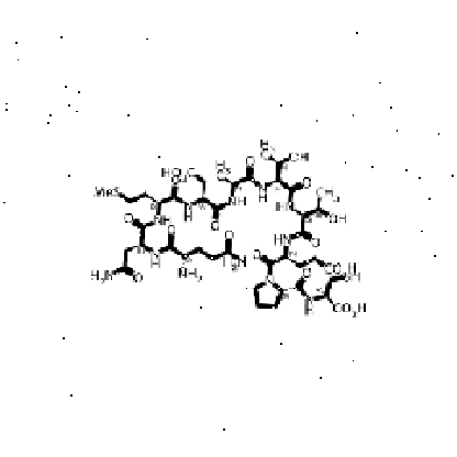 CSCC[C@H](NC(=O)[C@H](CC(N)=O)NC(=O)[C@@H](N)CCC(N)=O)C(=O)N[C@@H](CC(=O)O)C(=O)N[C@@H](C)C(=O)N[C@H](C(=O)N[C@H](C(=O)N[C@@H](CCC(=O)O)C(=O)N1CCC[C@H]1C(=O)N[C@@H](CS)C(=O)O)[C@@H](C)O)[C@@H](C)O